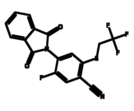 N#Cc1cc(F)c(N2C(=O)c3ccccc3C2=O)cc1SCC(F)(F)F